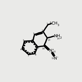 CCC1=Cc2ccccc2C(=[N+]=[N-])C1N